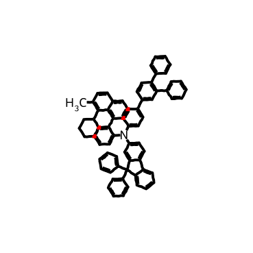 Cc1ccc2cccc(-c3ccccc3N(c3ccc(-c4ccc(-c5ccccc5)c(-c5ccccc5)c4)cc3)c3ccc4c(c3)C(c3ccccc3)(c3ccccc3)c3ccccc3-4)c2c1C1CCCCC1